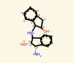 N[C@H]1c2ccccc2C(NC2c3ccccc3CC2O)[C@H]1O